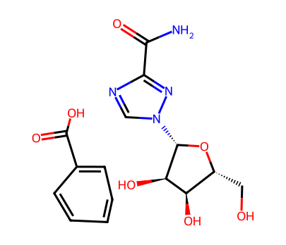 NC(=O)c1ncn([C@@H]2O[C@H](CO)[C@@H](O)[C@H]2O)n1.O=C(O)c1ccccc1